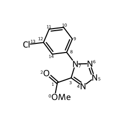 COC(=O)c1nnnn1-c1cccc(Cl)c1